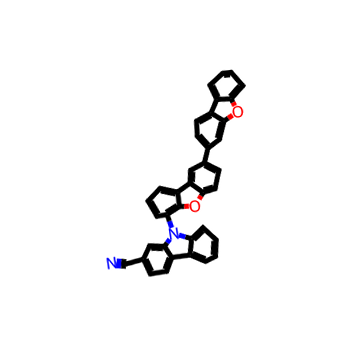 N#Cc1ccc2c3ccccc3n(-c3cccc4c3oc3ccc(-c5ccc6c(c5)oc5ccccc56)cc34)c2c1